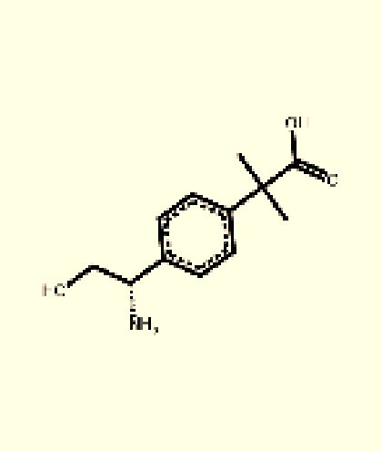 CC(C)(C(=O)O)c1ccc([C@H](N)CO)cc1